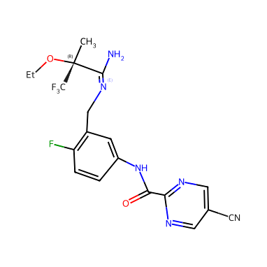 CCO[C@](C)(/C(N)=N\Cc1cc(NC(=O)c2ncc(C#N)cn2)ccc1F)C(F)(F)F